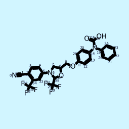 N#Cc1ccc(N2CC(COc3ccc(N(C(=O)O)c4ccccc4)cc3)OC2C(F)(F)F)cc1C(F)(F)F